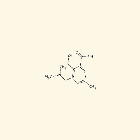 Cc1cc(CN(C)C)c(CO)c(C(=O)O)c1